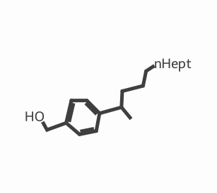 CCCCCCCCCCC(C)c1ccc(CO)cc1